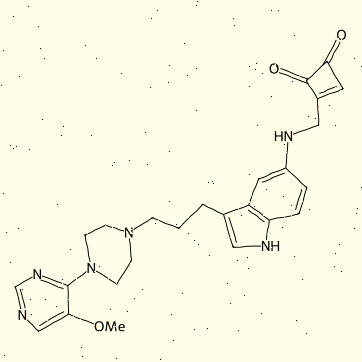 COc1cncnc1N1CCN(CCCc2c[nH]c3ccc(NCc4cc(=O)c4=O)cc23)CC1